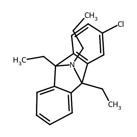 CCCN1C2(CC)c3ccccc3C1(CC)c1cc(Cl)ccc12